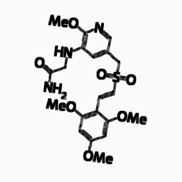 COc1cc(OC)c(C=CS(=O)(=O)Cc2cnc(OC)c(NCC(N)=O)c2)c(OC)c1